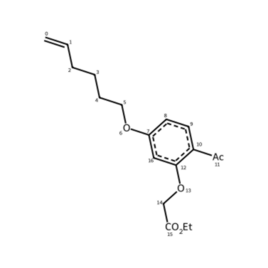 C=CCCCCOc1ccc(C(C)=O)c(OCC(=O)OCC)c1